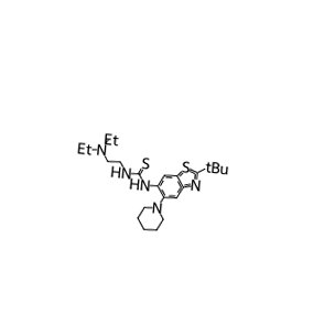 CCN(CC)CCNC(=S)Nc1cc2sc(C(C)(C)C)nc2cc1N1CCCCC1